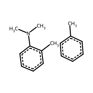 Cc1ccccc1.Cc1ccccc1N(C)C